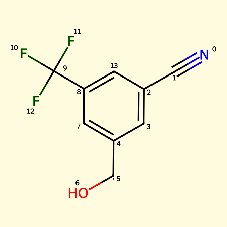 N#Cc1cc([CH]O)cc(C(F)(F)F)c1